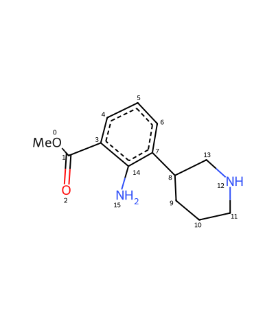 COC(=O)c1cccc(C2CCCNC2)c1N